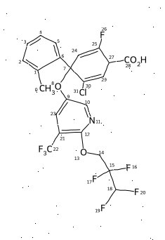 Cc1ccccc1C1(Oc2cnc(OCC(F)(F)C(F)F)c(C(F)(F)F)c2)C=C(F)C(C(=O)O)C=C1Cl